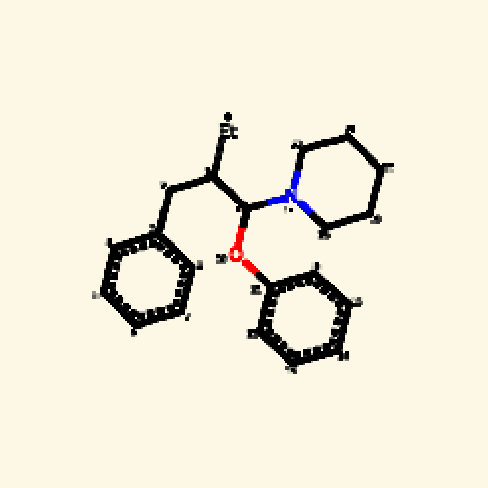 CCC(Cc1ccccc1)C(Oc1ccccc1)N1CCCCC1